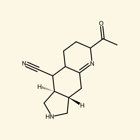 CC(=O)C1CCC2C(=N1)C[C@@H]1CNC[C@H]1C2C#N